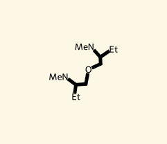 CCC(COCC(CC)NC)NC